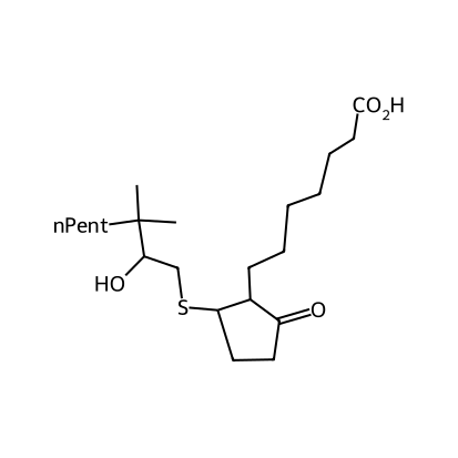 CCCCCC(C)(C)C(O)CSC1CCC(=O)C1CCCCCCC(=O)O